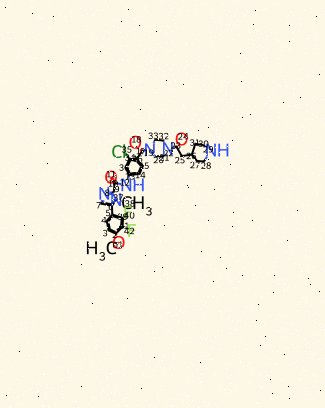 COc1ccc(-c2cnc(C(=O)Nc3ccc(C(=O)N4CCN(C(=O)CC5CCNCC5)CC4)c(Cl)c3)n2C)c(F)c1F